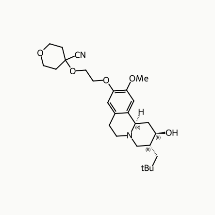 COc1cc2c(cc1OCCOC1(C#N)CCOCC1)CCN1C[C@@H](CC(C)(C)C)[C@H](O)C[C@H]21